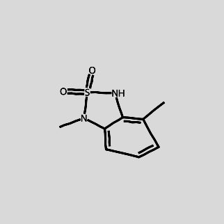 Cc1cccc2c1NS(=O)(=O)N2C